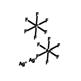 F[As-](F)(F)(F)(F)F.F[P-](F)(F)(F)(F)F.[Ag+].[Ag+]